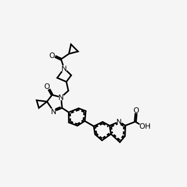 O=C(O)c1ccc2ccc(-c3ccc(C4=NC5(CC5)C(=O)N4CC4CN(C(=O)C5CC5)C4)cc3)cc2n1